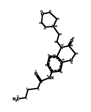 CCCCC(=O)Nc1ccc2c(c1)OCC(=O)N2CCN1CCOCC1